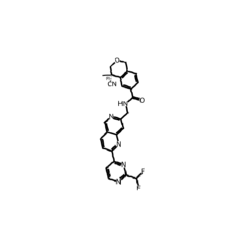 C[C@@]1(C#N)COCc2ccc(C(=O)NCc3cc4nc(-c5ccnc(C(F)F)n5)ccc4cn3)cc21